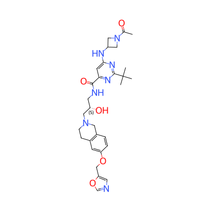 CC(=O)N1CC(Nc2cc(C(=O)NC[C@H](O)CN3CCc4cc(OCc5cnco5)ccc4C3)nc(C(C)(C)C)n2)C1